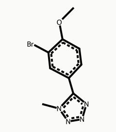 COc1ccc(-c2nnnn2C)cc1Br